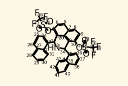 O=S(=O)(Oc1ccc2ccc(OS(=O)(=O)C(F)(F)F)c3c2c1C(c1cccc2ccccc12)NC3c1cccc2ccccc12)C(F)(F)F